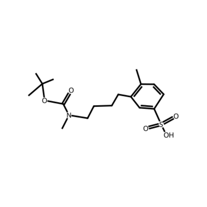 Cc1ccc(S(=O)(=O)O)cc1CCCCN(C)C(=O)OC(C)(C)C